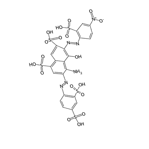 Nc1c(N=Nc2ccc(S(=O)(=O)O)cc2S(=O)(=O)O)cc(S(=O)(=O)O)c2cc(S(=O)(=O)O)c(N=Nc3ccc([N+](=O)[O-])cc3S(=O)(=O)O)c(O)c12